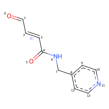 O=C/C=C/C(=O)NCc1ccncc1